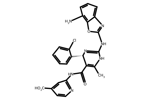 CC1=C(C(=O)Nc2cc(C(=O)O)ccn2)[C@H](c2ccccc2Cl)N=C(Nc2nc3cccc(N)c3o2)N1